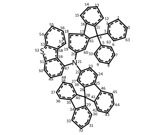 c1ccc(C2(c3ccccc3)c3ccccc3-c3ccc(N(c4ccc5c(c4)C4(c6ccccc6-c6ccccc64)c4ccccc4-5)c4cccc5sc6ccccc6c45)cc32)cc1